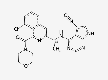 [C-]#[N+]c1c[nH]c2ncnc(N[C@@H](C)c3cc4cccc(Cl)c4c(C(=O)N4CCOCC4)n3)c12